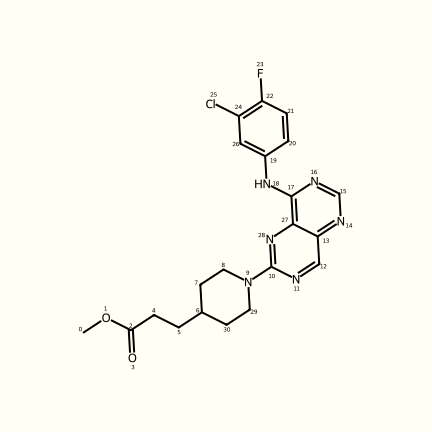 COC(=O)CCC1CCN(c2ncc3ncnc(Nc4ccc(F)c(Cl)c4)c3n2)CC1